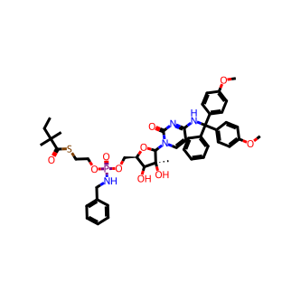 CCC(C)(C)C(=O)SCCOP(=O)(NCc1ccccc1)OC[C@H]1OC(n2ccc(NC(c3ccccc3)(c3ccc(OC)cc3)c3ccc(OC)cc3)nc2=O)[C@@](C)(O)C1O